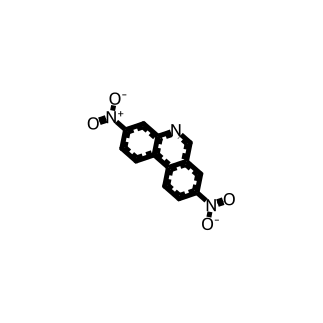 O=[N+]([O-])c1ccc2c(cnc3cc([N+](=O)[O-])ccc32)c1